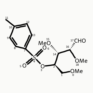 COC[C@@H](OS(=O)(=O)c1ccc(C)cc1)[C@H](OC)[C@H](C=O)OC